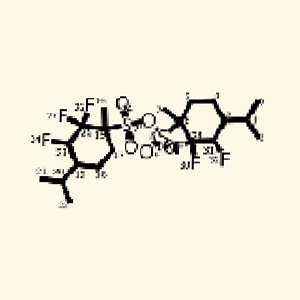 CC(C)C1CCC(C)(S(=O)(=O)OS(=O)(=O)C2(C)CCC(C(C)C)C(F)C2(F)F)C(F)(F)C1F